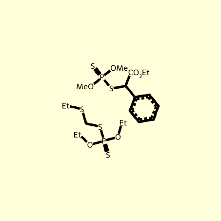 CCOC(=O)C(SP(=S)(OC)OC)c1ccccc1.CCOP(=S)(OCC)SCSCC